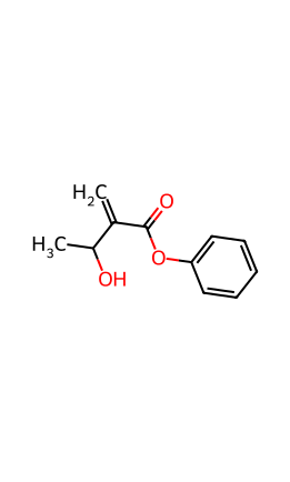 C=C(C(=O)Oc1ccccc1)C(C)O